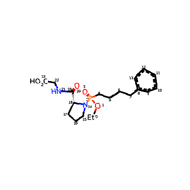 CCOP(=O)(CCCCc1ccccc1)N1CCC[C@@H]1C(=O)NCC(=O)O